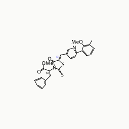 COC(=O)[C@H](Cc1ccccc1)N1C(=O)/C(=C/c2ccc(-c3cccc(C)c3OC)nc2)SC1=S